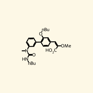 CCCCNC(=O)N(C)c1cccc(-c2ccc(C=C(OC)C(=O)O)cc2OCCCC)c1